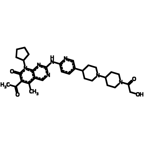 CC(=O)c1c(C)c2cnc(Nc3ccc(C4CCN(C5CCN(C(=O)CO)CC5)CC4)cn3)nc2n(C2CCCC2)c1=O